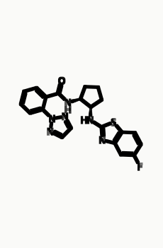 O=C(N[C@H]1CCC[C@H]1Nc1nc2cc(F)ccc2s1)c1ccccc1-n1nccn1